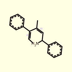 C/C=C(\C(C)=C/C(N)c1ccccc1)c1ccccc1